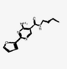 CCCCNC(=O)c1cnc(-c2ccco2)nc1N